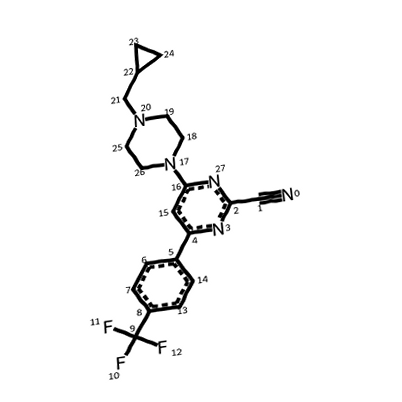 N#Cc1nc(-c2ccc(C(F)(F)F)cc2)cc(N2CCN(CC3CC3)CC2)n1